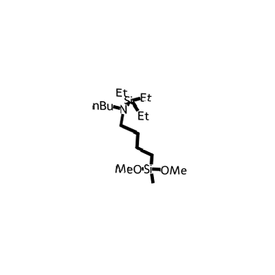 CCCCN(CCCC[Si](C)(OC)OC)[Si](CC)(CC)CC